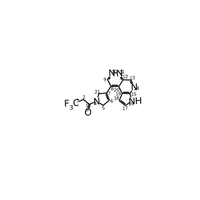 O=C(CC(F)(F)F)N1CC=C(c2cnnc3cnc4[nH]ccc4c23)C1